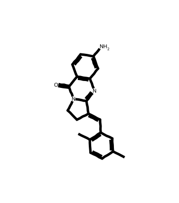 Cc1ccc(C)c(/C=C2\CCn3c2nc2cc(N)ccc2c3=O)c1